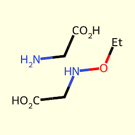 CCONCC(=O)O.NCC(=O)O